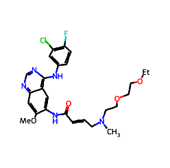 CCOCCOCCN(C)C/C=C/C(=O)Nc1cc2c(Nc3ccc(F)c(Cl)c3)ncnc2cc1OC